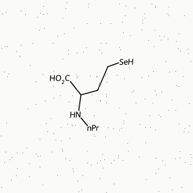 CCCNC(CC[SeH])C(=O)O